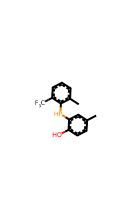 Cc1ccc(O)c(Pc2c(C)cccc2C(F)(F)F)c1